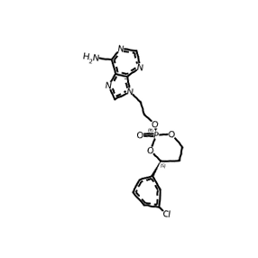 Nc1ncnc2c1ncn2CCO[P@@]1(=O)OCC[C@@H](c2cccc(Cl)c2)O1